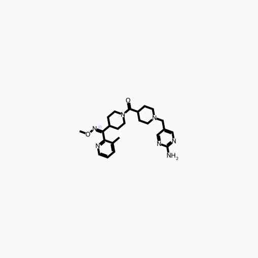 CO/N=C(\c1ncccc1C)C1CCN(C(=O)C2CCN(Cc3cnc(N)nc3)CC2)CC1